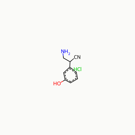 Cl.N#CC(CN)c1cccc(O)c1